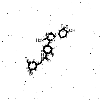 Nc1ncc([C@H]2CC[C@H](O)C(F)(F)C2)nc1-c1ccc(C(=O)NCc2cc(F)cc(Br)c2)c(F)c1